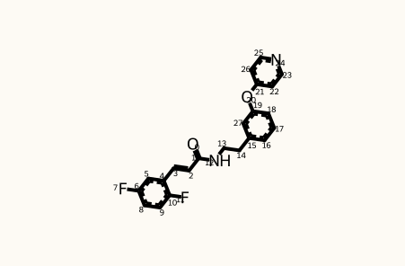 O=C(C=Cc1cc(F)ccc1F)NCCc1cccc(Oc2ccncc2)c1